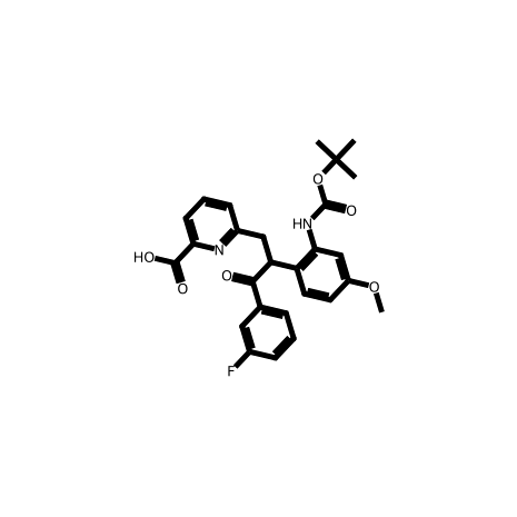 COc1ccc(C(Cc2cccc(C(=O)O)n2)C(=O)c2cccc(F)c2)c(NC(=O)OC(C)(C)C)c1